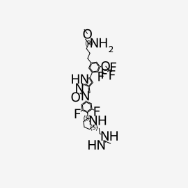 COC[C@H](N)CCCc1cc(OC(F)(F)F)c(F)c(-c2cc3cn(-c4cc(F)c([C@@H]5CCC[C@@H](CCNC(C)=N)N5)c(F)c4)c(=O)nc3[nH]2)c1